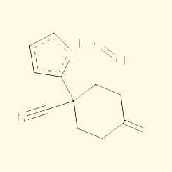 C=C.N#CC1(c2cccs2)CCC(=O)CC1